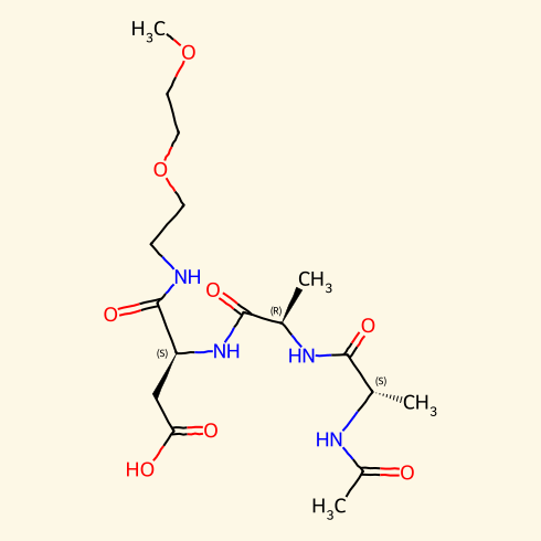 COCCOCCNC(=O)[C@H](CC(=O)O)NC(=O)[C@@H](C)NC(=O)[C@H](C)NC(C)=O